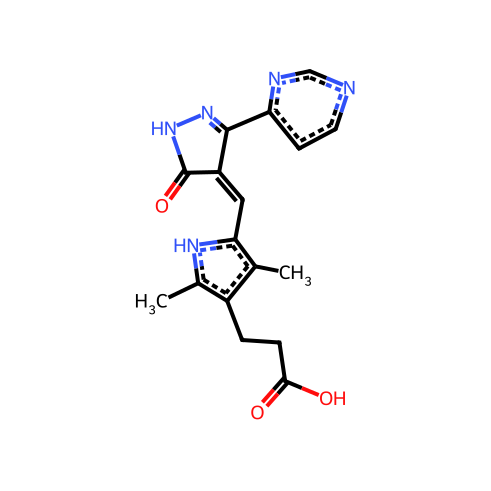 Cc1[nH]c(C=C2C(=O)NN=C2c2ccncn2)c(C)c1CCC(=O)O